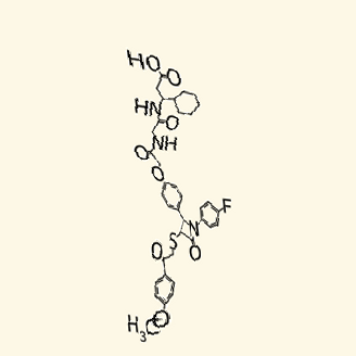 COc1ccc(C(=O)CSC2C(=O)N(c3ccc(F)cc3)C2c2ccc(OCC(=O)NCC(=O)NC(CC(=O)O)C3CCCCC3)cc2)cc1